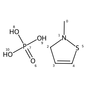 CN1CC=CS1.O=P(O)(O)O